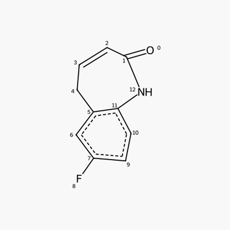 O=C1C=CCc2cc(F)ccc2N1